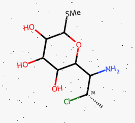 CSC1OC(C(N)[C@H](C)Cl)C(O)C(O)C1O